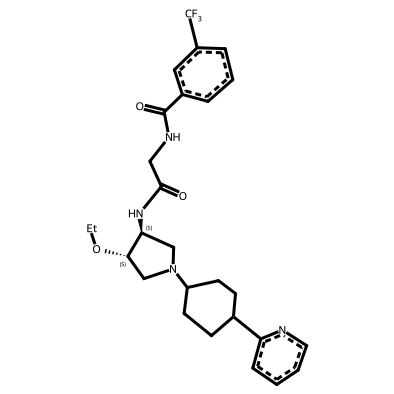 CCO[C@H]1CN(C2CCC(c3ccccn3)CC2)C[C@@H]1NC(=O)CNC(=O)c1cccc(C(F)(F)F)c1